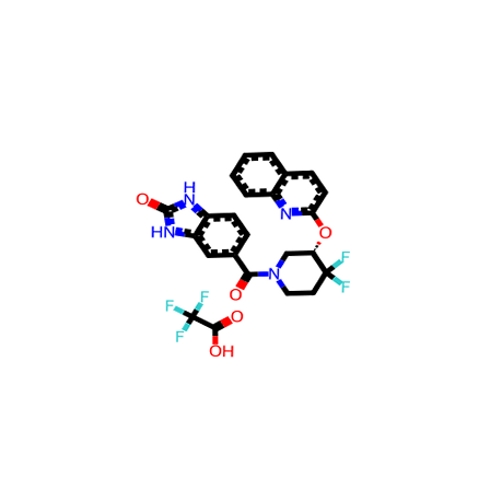 O=C(O)C(F)(F)F.O=C(c1ccc2[nH]c(=O)[nH]c2c1)N1CCC(F)(F)[C@@H](Oc2ccc3ccccc3n2)C1